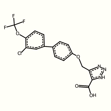 O=C(O)c1[nH]nnc1COc1ccc(-c2ccc(OC(F)(F)F)c(Cl)c2)cc1